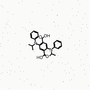 CC(C)N(c1ccccc1)c1cc(C(=O)O)c(N(c2ccccc2)C(C)C)cc1C(=O)O